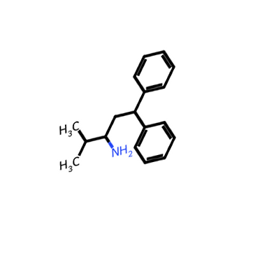 CC(C)C(N)CC(c1ccccc1)c1ccccc1